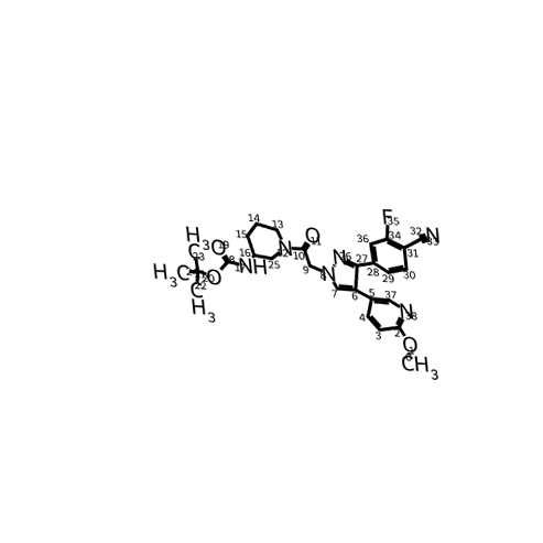 COc1ccc(-c2cn(CC(=O)N3CCC[C@@H](NC(=O)OC(C)(C)C)C3)nc2-c2ccc(C#N)c(F)c2)cn1